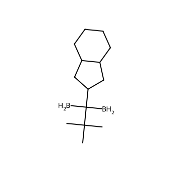 BC(B)(C1CC2CCCCC2C1)C(C)(C)C